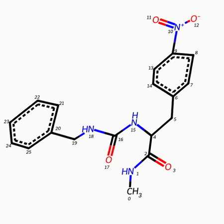 CNC(=O)C(Cc1ccc([N+](=O)[O-])cc1)NC(=O)NCc1ccccc1